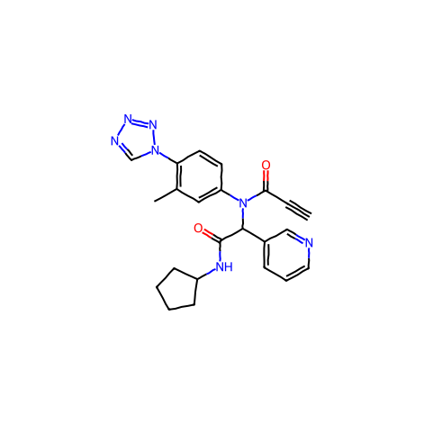 C#CC(=O)N(c1ccc(-n2cnnn2)c(C)c1)C(C(=O)NC1CCCC1)c1cccnc1